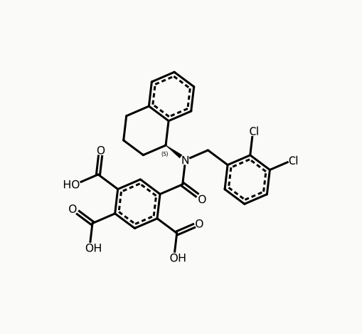 O=C(O)c1cc(C(=O)O)c(C(=O)N(Cc2cccc(Cl)c2Cl)[C@H]2CCCc3ccccc32)cc1C(=O)O